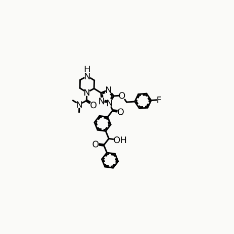 CN(C)C(=O)N1CCNCC1c1nc(OCc2ccc(F)cc2)n(C(=O)c2cccc(C(O)C(=O)c3ccccc3)c2)n1